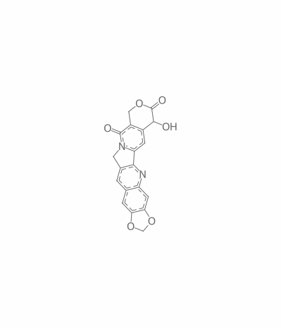 O=C1OCc2c(cc3n(c2=O)Cc2cc4cc5c(cc4nc2-3)OCO5)C1O